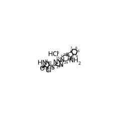 Cl.N[C@@H]1c2ccccc2CC12CCN(c1cnc(Sc3cc[nH]c(=O)c3Cl)cn1)CC2